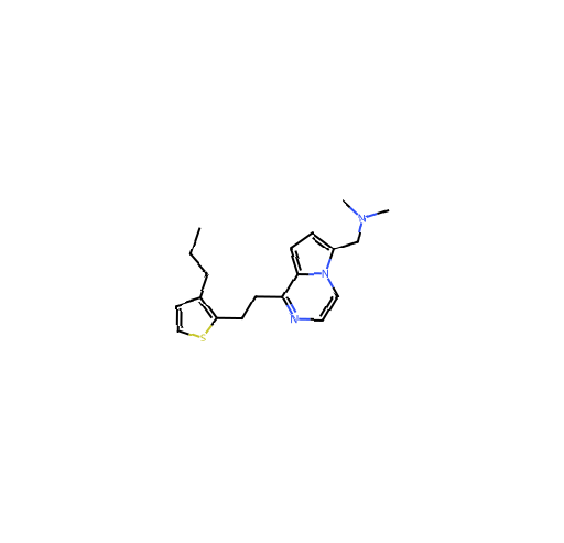 CCCc1ccsc1CCc1nccn2c(CN(C)C)ccc12